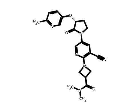 Cc1ccc(O[C@@H]2CCN(c3cnc(N4CC(C(=O)N(C)C)C4)c(C#N)c3)C2=O)cn1